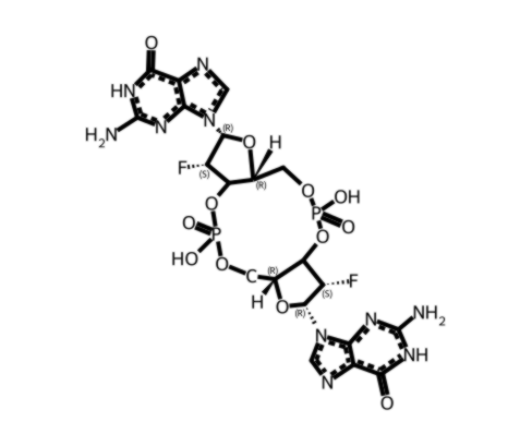 Nc1nc2c(ncn2[C@@H]2O[C@@H]3COP(=O)(O)OC4[C@@H](COP(=O)(O)OC3[C@@H]2F)O[C@@H](n2cnc3c(=O)[nH]c(N)nc32)[C@H]4F)c(=O)[nH]1